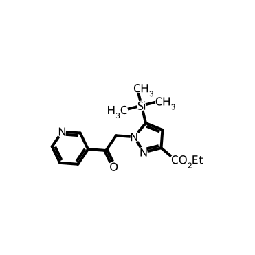 CCOC(=O)c1cc([Si](C)(C)C)n(CC(=O)c2cccnc2)n1